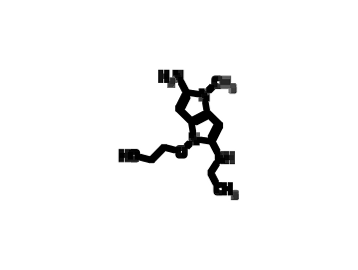 CCNc1cc2c(cc(N)n2C)n1OCCO